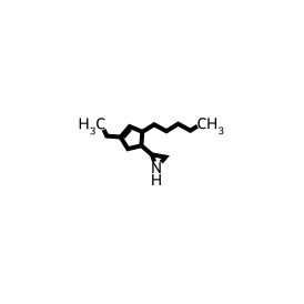 CCCCCC1C=C(CC)CC1C1CN1